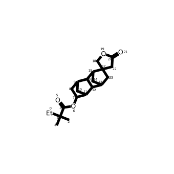 CCC(C)(C)C(=O)OC1CC2CC1C1C3CC(C21)C1(COC(=O)C1)C3